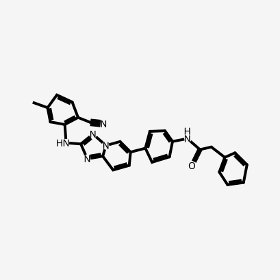 Cc1ccc(C#N)c(Nc2nc3ccc(-c4ccc(NC(=O)Cc5ccccc5)cc4)cn3n2)c1